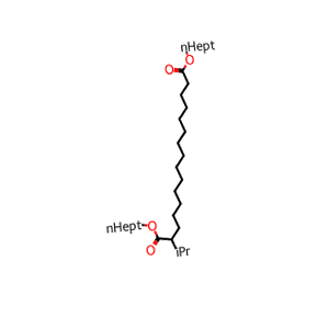 CCCCCCCOC(=O)CCCCCCCCCCCCCC(C(=O)OCCCCCCC)C(C)C